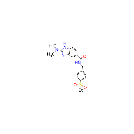 CCS(=O)(=O)c1ccc(CNC(=O)c2ccc3[nH]c(N(C)C)nc3c2)cc1